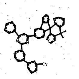 CC1(C)c2ccccc2C2(c3ccccc3-c3cc(-c4cc(-c5ccccc5)nc(-c5cccc(-c6cccc(C#N)c6)c5)n4)ccc32)c2ccccc21